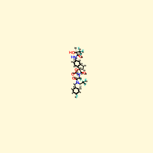 C[C@H](N(Cc1ccc(F)cc1)C(=O)CN1C(=O)O[C@@]2(CCc3cc(NC(=O)[C@@](C)(O)C(F)(F)F)ccc32)C1=O)C(F)(F)F